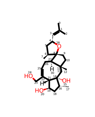 CC(C)=C[C@H]1C[C@H](C)[C@]2(CC[C@]3(C)C[C@@]4(O)[C@H](C)C[C@@H](O)[C@@H]4/C(CO)=C\C[C@H]32)O1